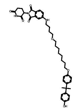 CC(C)(c1ccc(O)cc1)c1ccc(OCCCCCCCCOCCCCNc2ccc3c(c2)C(=O)N(C2CCC(=O)NC2=O)C3=O)cc1